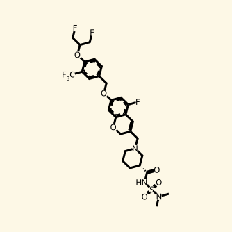 CN(C)S(=O)(=O)NC(=O)[C@@H]1CCCN(CC2=Cc3c(F)cc(OCc4ccc(OC(CF)CF)c(C(F)(F)F)c4)cc3OC2)C1